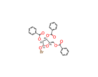 O=C(OC[C@H]1O[C@@H](OBr)[C@H](OC(=O)c2ccccc2)[C@@H]1OC(=O)c1ccccc1)c1ccccc1